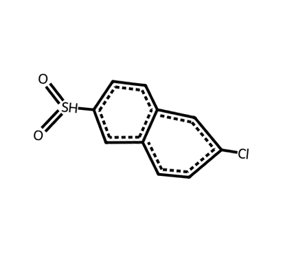 O=[SH](=O)c1ccc2cc(Cl)ccc2c1